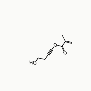 C=C(C)C(=O)OC#CCCO